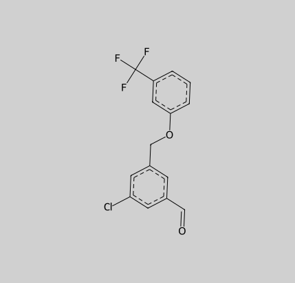 O=Cc1cc(Cl)cc(COc2cccc(C(F)(F)F)c2)c1